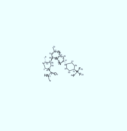 CNC(=O)N1CC[C@H](C)[C@@H](c2cc(C)nc3cc([C@H]4CC[C@H](C(F)(F)F)CC4)nn23)C1